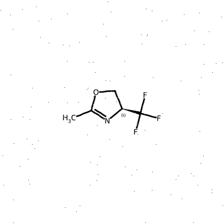 CC1=N[C@H](C(F)(F)F)CO1